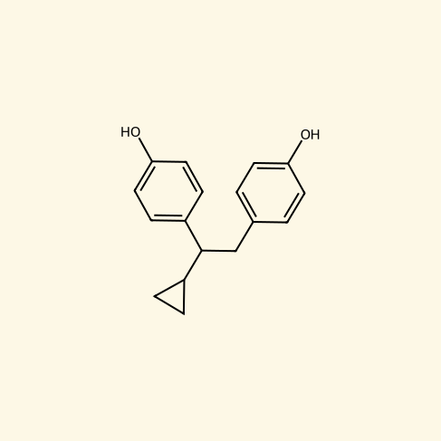 Oc1ccc(CC(c2ccc(O)cc2)C2CC2)cc1